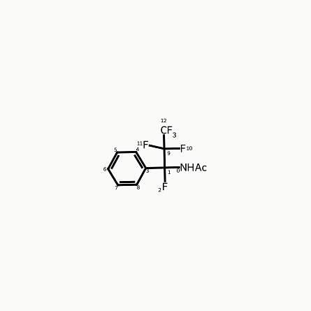 CC(=O)NC(F)(c1ccccc1)C(F)(F)C(F)(F)F